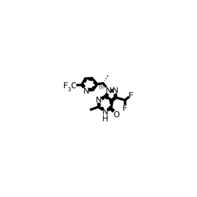 Cc1nc2c(c(C(F)F)nn2[C@@H](C)c2ccc(C(F)(F)F)nc2)c(=O)[nH]1